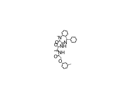 Cc1cccc(OCC(=O)N[C@@H](C)C(=O)N[C@H]2N=C(c3ccccc3)c3ccccc3N(C)C2=O)c1